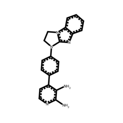 Nc1nccc(-c2ccc(N3CCn4c3nc3ccccc34)cc2)c1N